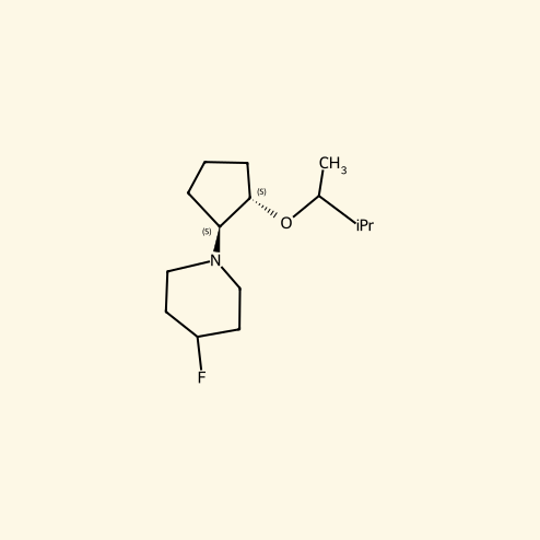 CC(C)C(C)O[C@H]1CCC[C@@H]1N1CCC(F)CC1